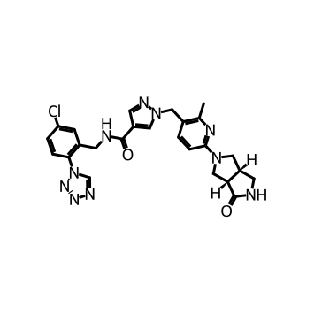 Cc1nc(N2C[C@@H]3CNC(=O)[C@@H]3C2)ccc1Cn1cc(C(=O)NCc2cc(Cl)ccc2-n2cnnn2)cn1